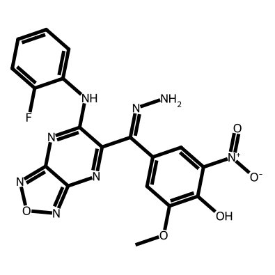 COc1cc(C(=NN)c2nc3nonc3nc2Nc2ccccc2F)cc([N+](=O)[O-])c1O